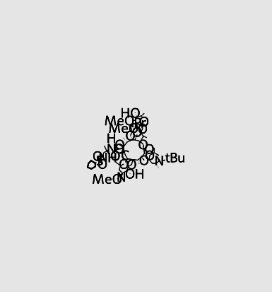 CON=C1C[C@@H](C)O[C@@H](O[C@@H]2[C@@H](C)[C@H](O[C@H]3C[C@@H](C)N(CC(C)(C)C)C[C@H](C)O3)[C@@H](C)C(=O)O[C@H](C(C)CO[C@@H]3O[C@H](C)[C@@H](O)[C@@H](OC)[C@H]3OC)[C@H](C)[C@@H](OC(=O)CC(C)C)[C@@H](C)C(=O)[C@@](C)(OC(=O)NC(C)(C)CNS(=O)(=O)c3ccccc3)C[C@@H]2C)[C@@H]1O